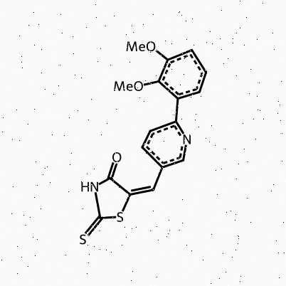 COc1cccc(-c2ccc(C=C3SC(=S)NC3=O)cn2)c1OC